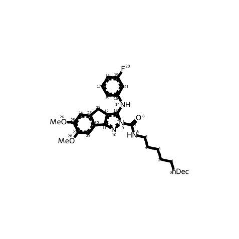 CCCCCCCCCCCCCCCNC(=O)n1nc2c(c1Nc1cccc(F)c1)Cc1cc(OC)c(OC)cc1-2